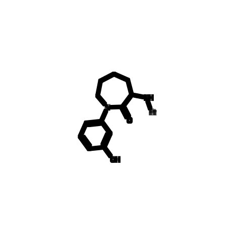 CCNC1CCCCN(c2cccc(O)c2)C1=O